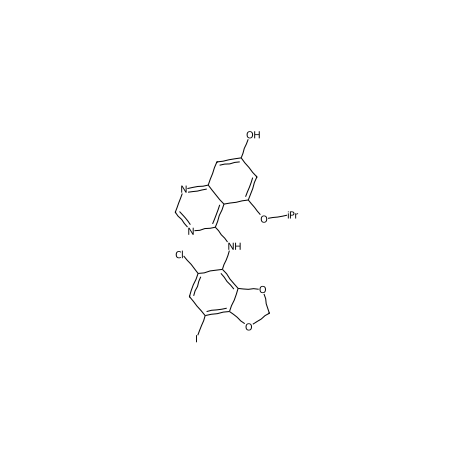 CC(C)Oc1cc(O)cc2ncnc(Nc3c(Cl)cc(I)c4c3OCO4)c12